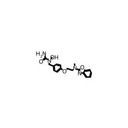 CN(CCOc1ccc(CN(O)C(N)=O)cc1)c1nc2ccccc2o1